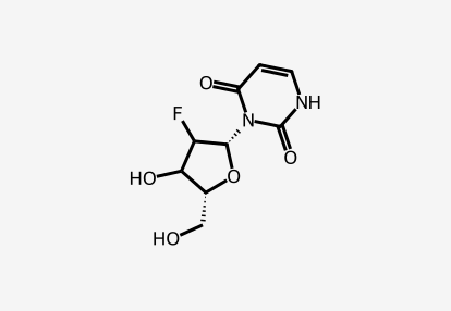 O=c1cc[nH]c(=O)n1[C@@H]1O[C@H](CO)C(O)C1F